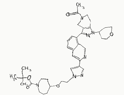 CC(=O)N1CCc2c(c(-c3cccc4cc(-c5cnn(CCOC6CCN(C(=O)OC(C)(C)C)CC6)c5)ncc34)nn2C2CCOCC2)C1